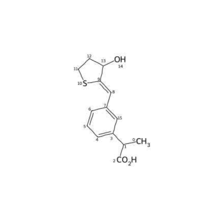 CC(C(=O)O)c1cccc(/C=C2\SCCC2O)c1